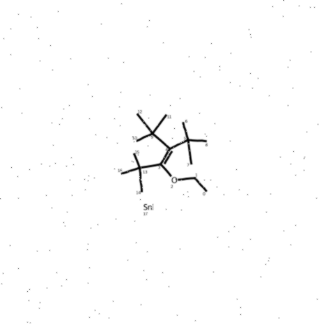 CCOC(=C(C(C)(C)C)C(C)(C)C)C(C)(C)C.[Sn]